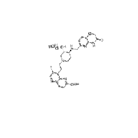 COc1ccc2ncc(F)c(CCN3CC[C@H](NCc4ccc5c(n4)NC(=O)CO5)[C@@H](O)C3)c2n1.Cl.Cl